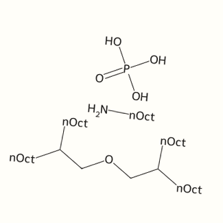 CCCCCCCCC(CCCCCCCC)COCC(CCCCCCCC)CCCCCCCC.CCCCCCCCN.O=P(O)(O)O